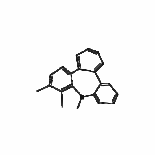 Cc1ccc2c(c1C)N(C)c1ccccc1-c1ccccc1-2